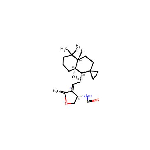 C=C1OC[C@@H](NC=O)/C1=C\C[C@H]1C2(CC[C@H]3C(C)(C)CCC[C@@]31C)CC2